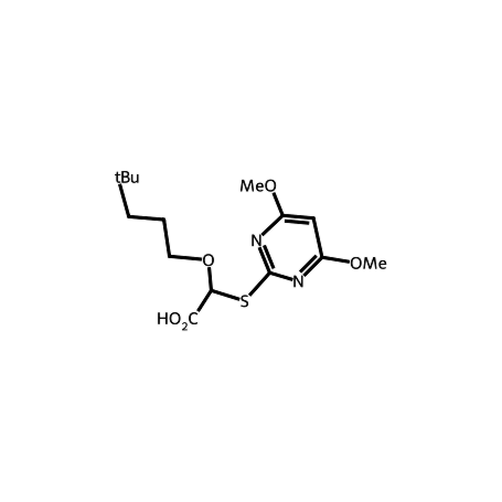 COc1cc(OC)nc(SC(OCCCC(C)(C)C)C(=O)O)n1